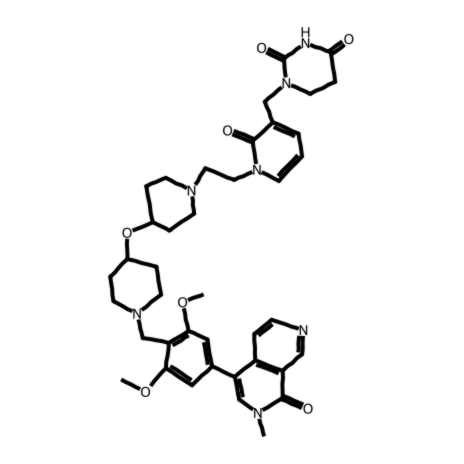 COc1cc(-c2cn(C)c(=O)c3cnccc23)cc(OC)c1CN1CCC(OC2CCN(CCn3cccc(CN4CCC(=O)NC4=O)c3=O)CC2)CC1